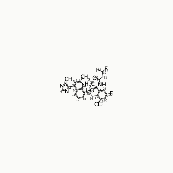 Cc1cc(-c2ncnn2C)c2cccc(OCc3c(Cl)cc(F)cc3[C@@](C)(O)NC(=O)CC(F)F)c2n1